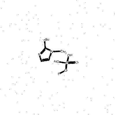 CCCCc1nccn1C.O=P(O)(O)OF